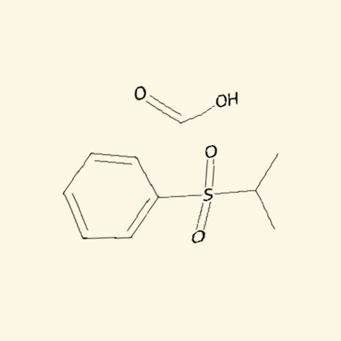 CC(C)S(=O)(=O)c1ccccc1.O=CO